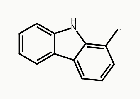 [CH2]c1cccc2c1[nH]c1ccccc12